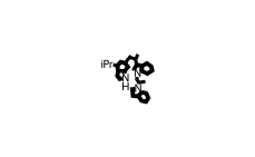 CC(C)c1cc(CC(C)c2cn(CC(C)n3ccc4ccccc43)c3ccccc23)cc2[nH]ccc12